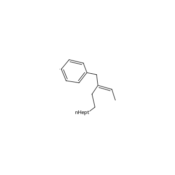 C/C=C(\CCCCCCCCC)Cc1cc[c]cc1